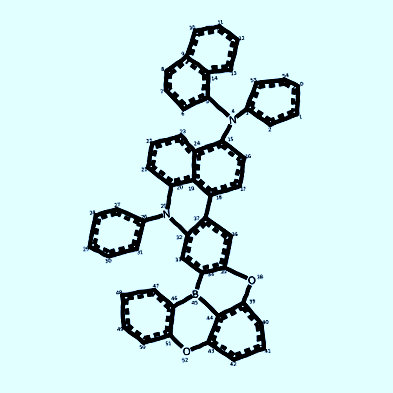 c1ccc(N(c2cccc3ccccc23)c2ccc3c4c(cccc24)N(c2ccccc2)c2cc4c(cc2-3)Oc2cccc3c2B4c2ccccc2O3)cc1